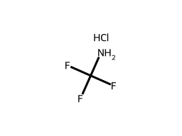 Cl.NC(F)(F)F